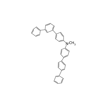 CN(c1ccc(-c2ccc(-c3ccccc3)cc2)cc1)c1ccc(-c2cccc(-c3ccccc3)c2)cc1